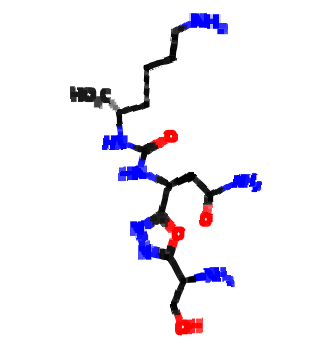 NCCCC[C@H](NC(=O)N[C@@H](CC(N)=O)c1nnc([C@@H](N)CO)o1)C(=O)O